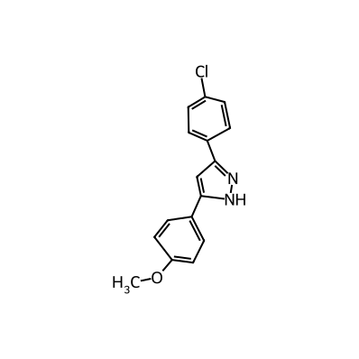 COc1ccc(-c2cc(-c3ccc(Cl)cc3)n[nH]2)cc1